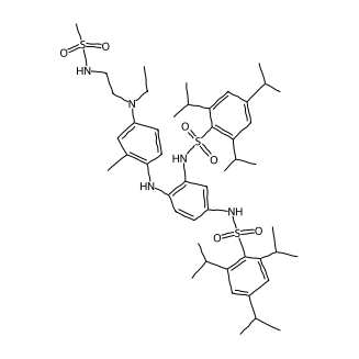 CCN(CCNS(C)(=O)=O)c1ccc(Nc2ccc(NS(=O)(=O)c3c(C(C)C)cc(C(C)C)cc3C(C)C)cc2NS(=O)(=O)c2c(C(C)C)cc(C(C)C)cc2C(C)C)c(C)c1